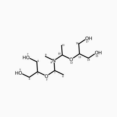 CC(OC(CO)CO)N(C)C(C)OC(CO)CO